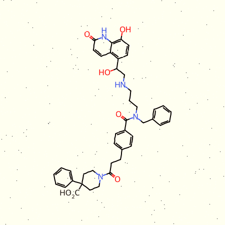 O=C(CCc1ccc(C(=O)N(CCCNCC(O)c2ccc(O)c3[nH]c(=O)ccc23)Cc2ccccc2)cc1)N1CCC(C(=O)O)(c2ccccc2)CC1